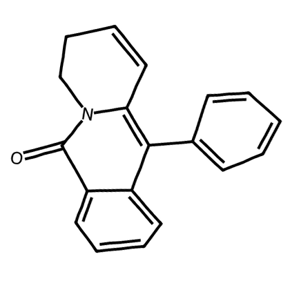 O=c1c2ccccc2c(-c2ccccc2)c2n1CCC=C2